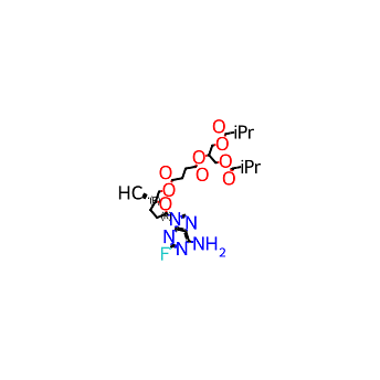 C#C[C@@]1(COC(=O)CCC(=O)OC(COC(=O)C(C)C)COC(=O)C(C)C)CC[C@H](n2cnc3c(N)nc(F)nc32)O1